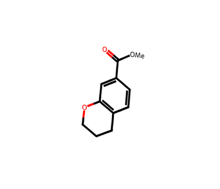 COC(=O)c1ccc2c(c1)OCCC2